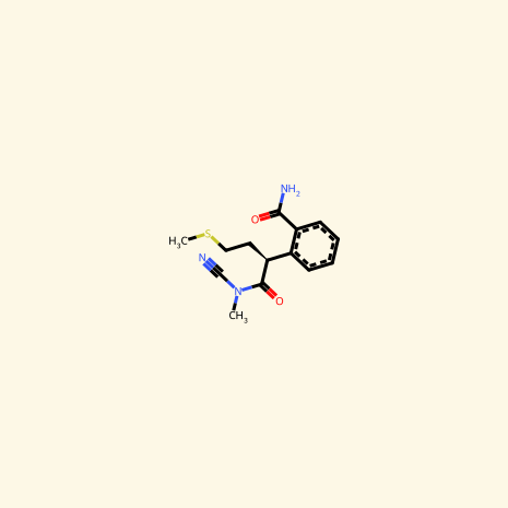 CSCC[C@H](C(=O)N(C)C#N)c1ccccc1C(N)=O